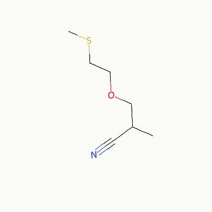 CSCCOCC(C)C#N